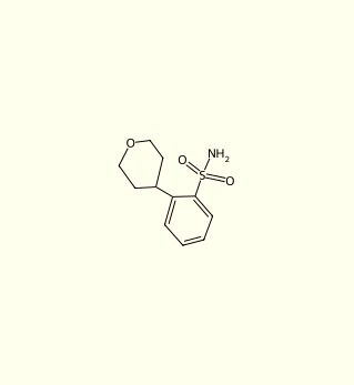 NS(=O)(=O)c1ccccc1C1CCOCC1